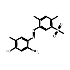 Cc1cc(/N=N/c2cc(S(C)(=O)=O)c(C)cc2C)c(N)cc1O